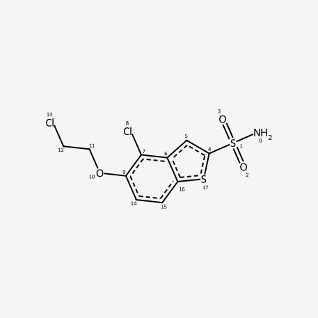 NS(=O)(=O)c1cc2c(Cl)c(OCCCl)ccc2s1